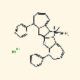 CC1CC2C(=CC=CCC2c2ccccc2)[CH]1[Ti]([CH3])([CH3])(=[SiH2])[CH]1C2=CC=CCC(c3ccccc3)C2CC1C.Cl.Cl